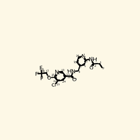 CCC(=O)Nc1cc(CNC(=O)c2cnc(OCC(F)(F)F)c(Cl)c2)ccn1